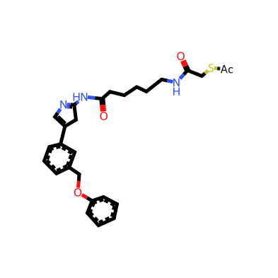 CC(=O)SCC(=O)NCCCCCC(=O)NC1=NC=C(c2cccc(COc3ccccc3)c2)C1